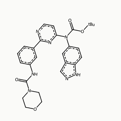 CC(C)(C)OC(=O)N(c1ccc2[nH]ncc2c1)c1ccnc(-c2cccc(NC(=O)N3CCOCC3)c2)n1